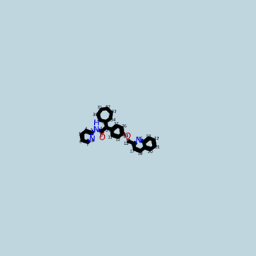 O=C(Nc1ccccn1)C(c1ccc(OCc2ccc3ccccc3n2)cc1)C1CCCCCC1